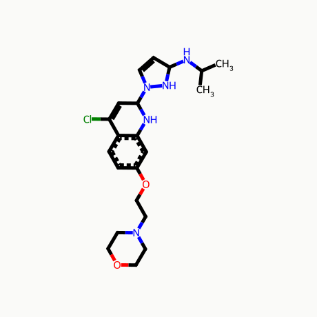 CC(C)NC1C=CN(C2C=C(Cl)c3ccc(OCCN4CCOCC4)cc3N2)N1